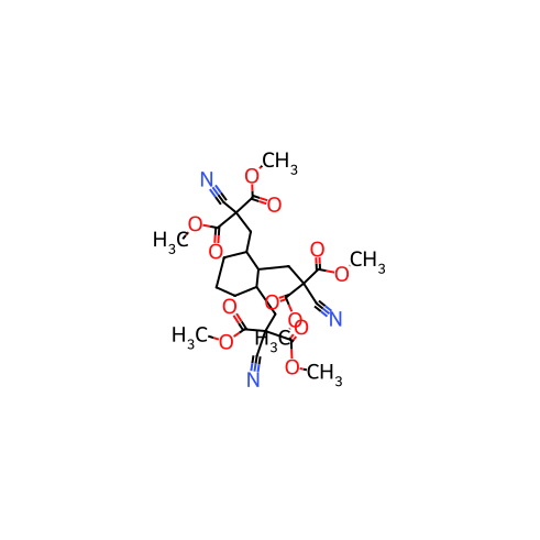 COC(=O)C(C#N)(CC1CCCC(CC(C#N)(C(=O)OC)C(=O)OC)C1CC(C#N)(C(=O)OC)C(=O)OC)C(=O)OC